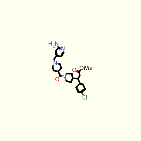 COC(=O)CC(c1ccc(Cl)cc1)C1CCN(C(=O)C2CCN(Cc3ccnc(N)c3)CC2)CC1